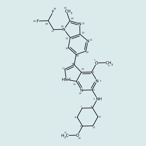 COc1nc(NC2CCC(OC)CC2)nc2[nH]cc(-c3cnc4nc(C)n(CC(F)F)c4c3)c12